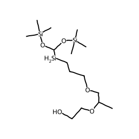 CC(COCCC[SiH2]C(O[Si](C)(C)C)O[Si](C)(C)C)OCCO